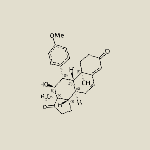 COc1ccc([C@@H]2[C@H]3[C@@H](CCC4=CC(=O)CC[C@@]43C)[C@@H]3CCC(=O)[C@@]3(C)[C@H]2O)cc1